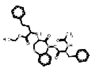 CCOC(=O)C(CCc1ccccc1)N[C@H]1CSc2ccccc2N(OC(=O)[C@H](Cc2ccccc2)NC(C)=O)C1=O